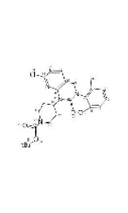 Cc1cccc(Cl)c1N1Cc2cnc(Cl)nc2N(C2CCN(C(=O)OC(C)(C)C)CC2)C1=O